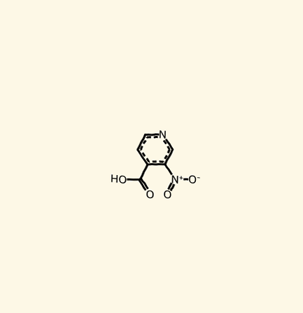 O=C(O)c1ccncc1[N+](=O)[O-]